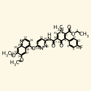 CCOC(=O)c1c(-c2ccc(F)cc2)c(=O)c(C(=O)Nc2ccc(Oc3ccnc4cc(OC)c(OC)cc34)nn2)cn1C